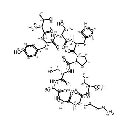 CC[C@H](C)[C@H](NC(=O)[C@H](CS)NC(=O)[C@@H]1CCCN1C(=O)[C@H](Cc1c[nH]cn1)NC(=O)[C@@H](NC(=O)[C@H](Cc1ccc(O)cc1)NC(=O)[C@@H](N)[C@@H](C)O)[C@@H](C)O)C(=O)N[C@@H](C)C(=O)N[C@@H](CCCCN)C(=O)N[C@@H](CS)C(=O)O